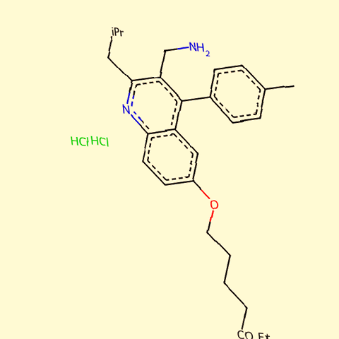 CCOC(=O)CCCCOc1ccc2nc(CC(C)C)c(CN)c(-c3ccc(C)cc3)c2c1.Cl.Cl